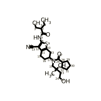 CCC(CC)C(=O)Nc1sc2c(c1C#N)CCC(N(CC(C)(C)CCO)C(=O)C1CCCC1)C2